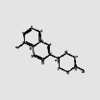 Cc1cccc2cc(N3CCN(C)CC3)ncc12